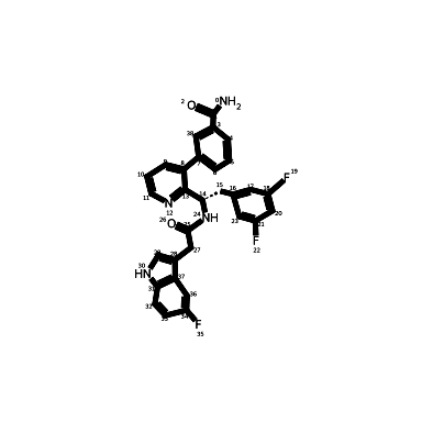 NC(=O)c1cccc(-c2cccnc2[C@H](Cc2cc(F)cc(F)c2)NC(=O)Cc2c[nH]c3ccc(F)cc23)c1